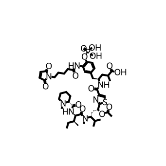 CC[C@H](C)[C@H](NC(=O)[C@H]1CCCCN1C)C(=O)N(C)[C@H](C[C@@H](OC(C)=O)c1nc(C(=O)N[C@@H](Cc2ccc(OP(=O)(O)O)c(NC(=O)CCCCN3C(=O)C=CC3=O)c2)CC(C)C(=O)O)cs1)C(C)C